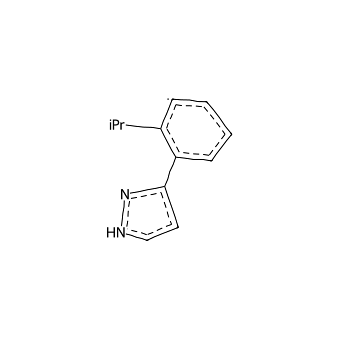 CC(C)c1[c]cccc1-c1cc[nH]n1